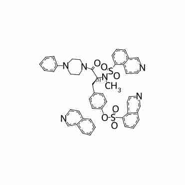 CN([C@@H](Cc1ccc(OS(=O)(=O)c2cccc3cnccc23)cc1)C(=O)N1CCN(c2ccccc2)CC1)S(=O)(=O)c1cccc2cnccc12.c1ccc2cnccc2c1